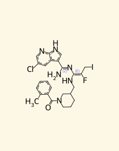 Cc1ccccc1C(=O)N1CCCC(CNC(/N=C(\N)c2c[nH]c3ncc(Cl)cc23)=C(\F)CI)C1